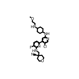 COCCNC1CCC(Nc2cc(-c3ccc(F)c(NCC4(C#N)CCOCC4)n3)c(Cl)cn2)CC1